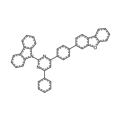 c1ccc(-c2cc(-c3ccc(-c4ccc5c(c4)oc4ccccc45)cc3)nc(-n3c4ccccc4c4ccccc43)n2)cc1